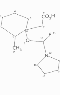 CC1CCCCC1(CC(=O)O)OC(F)N1CCCC1